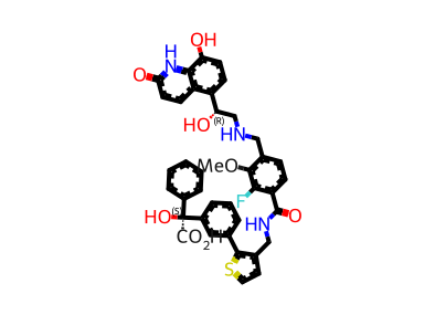 COc1c(CNC[C@H](O)c2ccc(O)c3[nH]c(=O)ccc23)ccc(C(=O)NCc2ccsc2-c2cccc([C@](O)(C(=O)O)c3ccccc3)c2)c1F